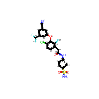 N#Cc1cc(Oc2c(Cl)ccc(CC(=O)Nc3ccc(S(N)(=O)=O)cc3)c2F)cc(C(F)F)c1